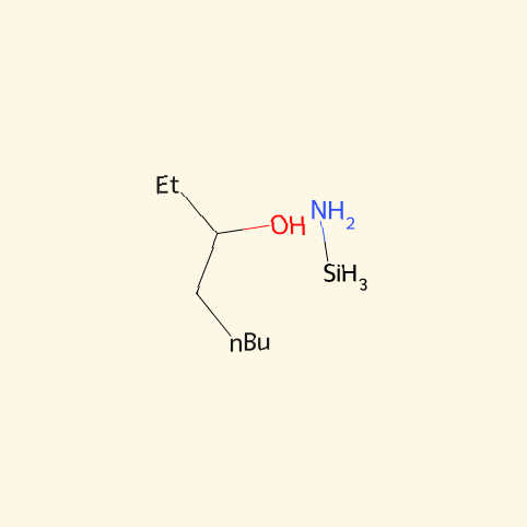 CCCCCC(O)CC.N[SiH3]